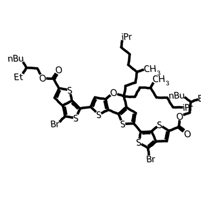 CCCCC(CC)COC(=O)c1cc2c(Br)sc(-c3cc4c(s3)-c3sc(-c5sc(Br)c6cc(C(=O)OCC(CC)CCCC)sc56)cc3C(CCC(C)CCCC(C)C)(CCC(C)CCCC(C)C)O4)c2s1